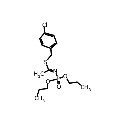 CCCOP(=O)(N=C(C)SCc1ccc(Cl)cc1)OCCC